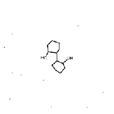 OC1CCCCC1C1CCCCC1O